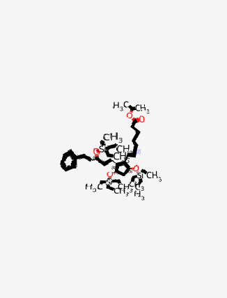 CC[Si](CC)(CC)O[C@@H](CCc1ccccc1)CC[C@@H]1[C@@H](C/C=C\CCCC(=O)OC(C)C)[C@@H](O[Si](CC)(CC)CC)C[C@H]1O[Si](CC)(CC)CC